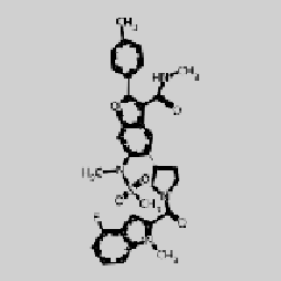 CNC(=O)c1c(-c2ccc(C)cc2)oc2cc(N(C)S(C)(=O)=O)c([C@@H]3CCN(C(=O)c4cc5c(F)cccc5n4C)C3)cc12